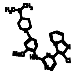 COc1cc(N2CCC(N(C)C)CC2)ccc1Nc1nccc(-c2c(Cl)nc3ccccn23)n1